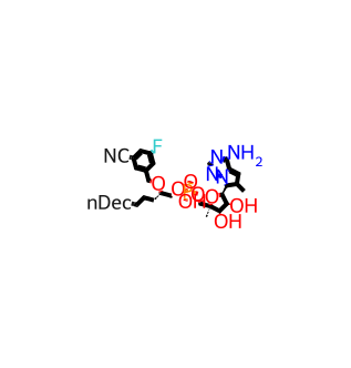 CCCCCCCCCCCCC[C@@H](COP(=O)(O)OC[C@@]1(C)O[C@@H](C2C(C)C=C3C(N)=NC=NN32)[C@H](O)[C@@H]1O)OCc1cc(F)cc(C#N)c1